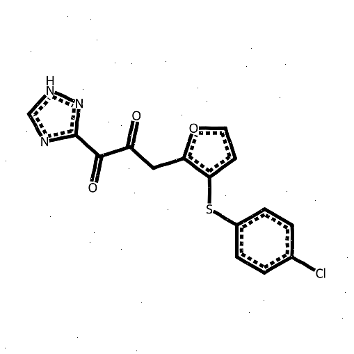 O=C(Cc1occc1Sc1ccc(Cl)cc1)C(=O)c1nc[nH]n1